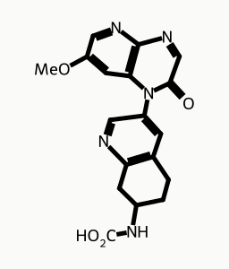 COc1cnc2ncc(=O)n(-c3cnc4c(c3)CCC(NC(=O)O)C4)c2c1